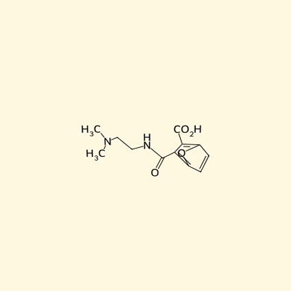 CN(C)CCNC(=O)c1c(C(=O)O)c2ccc1o2